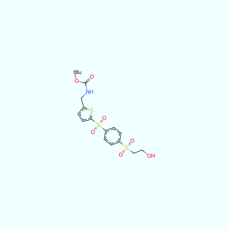 CC(C)(C)OC(=O)NCc1ccc(S(=O)(=O)c2ccc(S(=O)(=O)CCO)cc2)s1